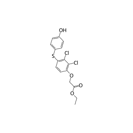 CCOC(=O)COc1ccc(Sc2ccc(O)cc2)c(Cl)c1Cl